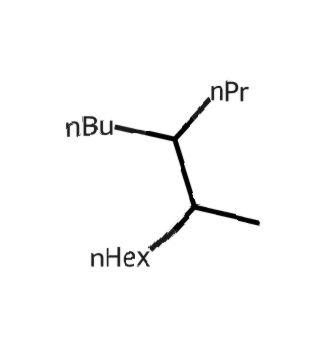 CCCCCCC(C)C(CCC)CCCC